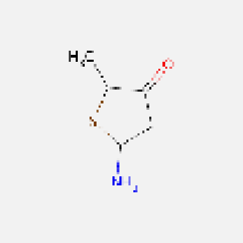 CC1SC(N)CC1=O